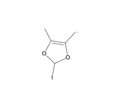 [CH2]C1=C(C)OC(I)O1